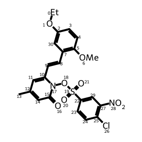 CCOc1ccc(OC)c(/C=C/c2cc(C)cc(=O)n2OS(=O)(=O)c2ccc(Cl)c([N+](=O)[O-])c2)c1